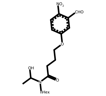 CCCCCCN(C(=O)CCCOc1ccc([N+](=O)[O-])c(C=O)c1)C(C)O